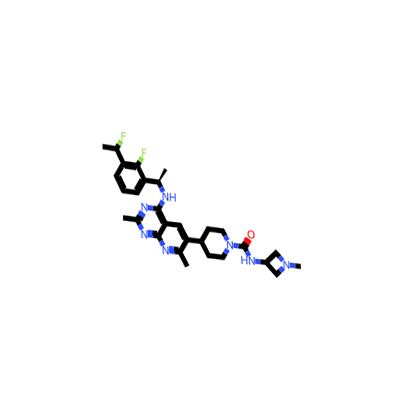 Cc1nc(N[C@H](C)c2cccc(C(C)F)c2F)c2cc(C3CCN(C(=O)NC4CN(C)C4)CC3)c(C)nc2n1